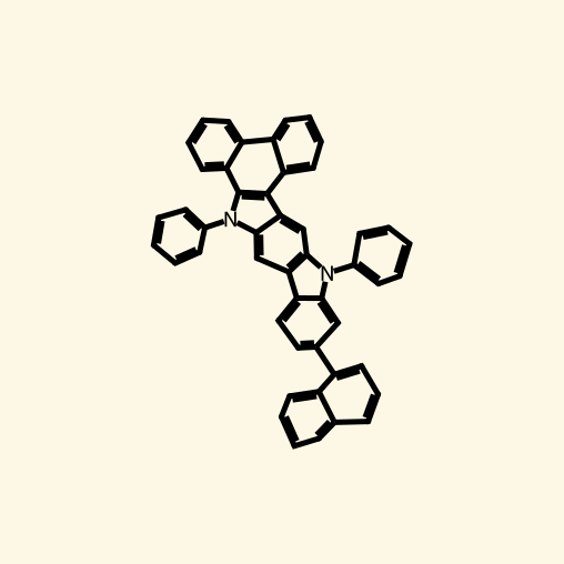 c1ccc(-n2c3cc(-c4cccc5ccccc45)ccc3c3cc4c(cc32)c2c3ccccc3c3ccccc3c2n4-c2ccccc2)cc1